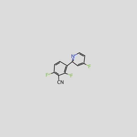 N#Cc1c(F)ccc(-c2cc(F)ccn2)c1F